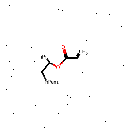 C=CC(=O)OC(CCCCCC)C(C)C